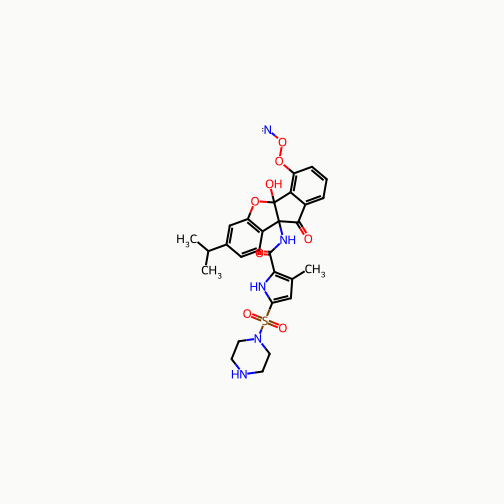 Cc1cc(S(=O)(=O)N2CCNCC2)[nH]c1C(=O)NC12C(=O)c3cccc(OO[N])c3C1(O)Oc1cc(C(C)C)ccc12